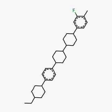 CCC1CCC(c2ccc(C3CCC(C4CCC(c5ccc(C)c(F)c5)CC4)CC3)cc2)CC1